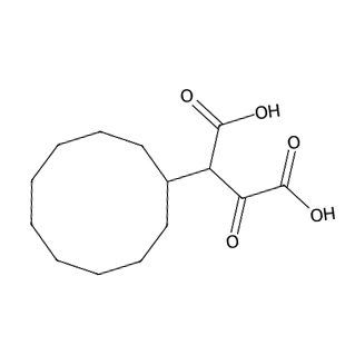 O=C(O)C(=O)C(C(=O)O)C1CCCCCCCCC1